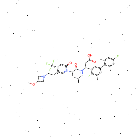 COC1CN(CCc2cn(C(CC(C)C)C(=O)NC(CC(=O)O)c3cc(-c4c(C)cc(F)cc4C)cc(C)c3F)c(=O)cc2C(F)(F)F)C1